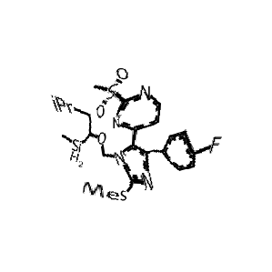 C[SiH2]C(CC(C)C)OCn1c(SC)nc(-c2ccc(F)cc2)c1-c1ccnc(S(C)(=O)=O)n1